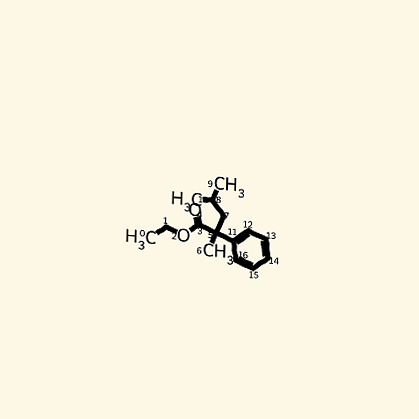 CCOC(=O)C(C)(CC(C)C)c1ccccc1